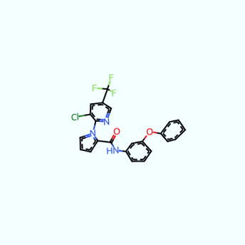 O=C(Nc1cccc(Oc2ccccc2)c1)c1cccn1-c1ncc(C(F)(F)F)cc1Cl